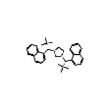 CC(C)(C)[C@@H](c1cccc2ccccc12)N1[C]N([C@H](c2cccc3ccccc23)C(C)(C)C)CC1